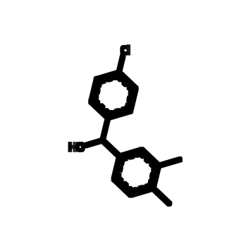 Cc1ccc(C(O)c2ccc(Cl)cc2)cc1C